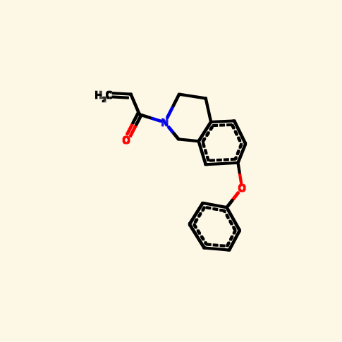 C=CC(=O)N1CCc2ccc(Oc3ccccc3)cc2C1